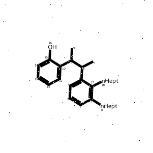 CCCCCCCc1cccc(C(C)C(C)c2ccccc2O)c1CCCCCCC